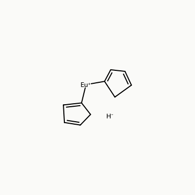 C1=CC[C]([Eu+][C]2=CC=CC2)=C1.[H-]